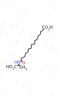 C[C@H](NC(=O)CCCCCCCCCCCCCCC(=O)O)C(=O)O